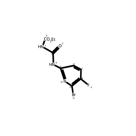 CCOC(=O)NC(=O)Nc1ccc(F)c(Br)n1